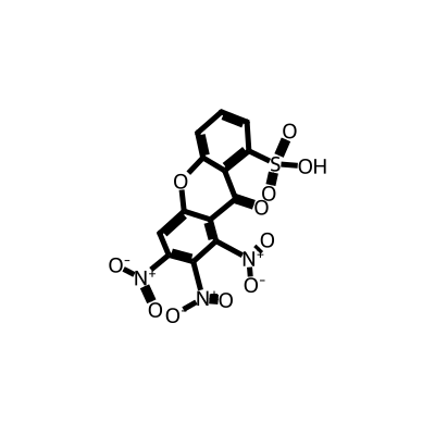 O=c1c2c(S(=O)(=O)O)cccc2oc2cc([N+](=O)[O-])c([N+](=O)[O-])c([N+](=O)[O-])c12